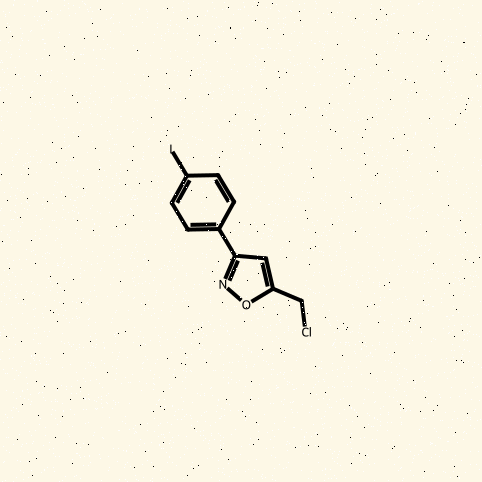 ClCc1cc(-c2ccc(I)cc2)no1